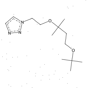 CC(C)(C)OCCC(C)(C)OCCn1ccnn1